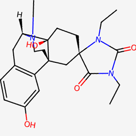 CCN1C(=O)N(CC)[C@]2(CC[C@@]3(O)[C@H]4Cc5ccc(O)cc5[C@@]3(CCN4C)C2)C1=O